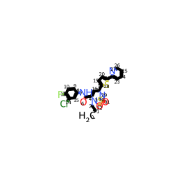 C=CCN1C(C(=O)Nc2ccc(F)c(Cl)c2)=CC(c2ccc(-c3ccccn3)s2)=NS1(=O)=O